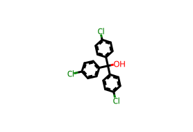 OC(c1ccc(Cl)cc1)(c1ccc(Cl)cc1)c1ccc(Cl)cc1